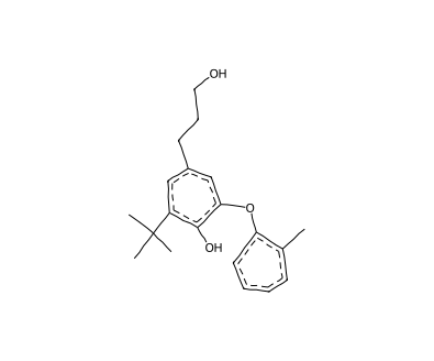 Cc1ccccc1Oc1cc(CCCO)cc(C(C)(C)C)c1O